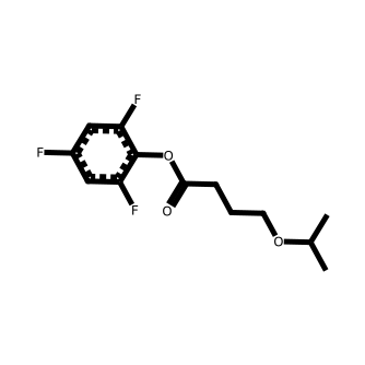 CC(C)OCCCC(=O)Oc1c(F)cc(F)cc1F